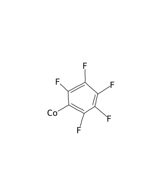 Fc1c(F)c(F)[c]([Co])c(F)c1F